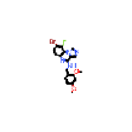 COc1ccc(CNc2nc3ccc(Br)c(F)c3n3cncc23)c(OC)c1